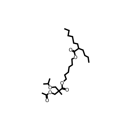 CCCCCCC(CCCC)C(=O)OCCCCCCOC(=O)C(C)(COC(C)=O)COC(C)C